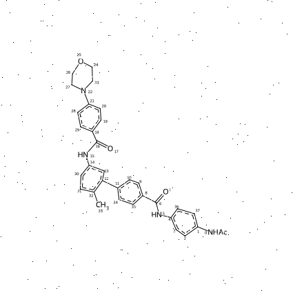 CC(=O)Nc1ccc(NC(=O)c2ccc(-c3cc(NC(=O)c4ccc(N5CCOCC5)cc4)ccc3C)cc2)cc1